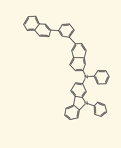 c1ccc(N(c2ccc3cc(-c4cccc(-c5ccc6ccccc6c5)c4)ccc3c2)c2ccc3c4ccccc4n(-c4ccccc4)c3c2)cc1